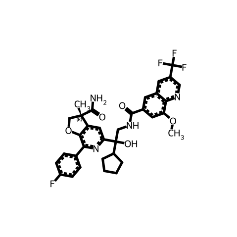 COc1cc(C(=O)NCC(O)(c2cc3c(c(-c4ccc(F)cc4)n2)OC[C@]3(C)C(N)=O)C2CCCC2)cc2cc(C(F)(F)F)cnc12